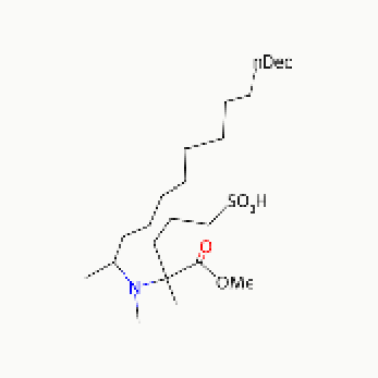 CCCCCCCCCCCCCCCCCCC(C)N(C)C(C)(CCCS(=O)(=O)O)C(=O)OC